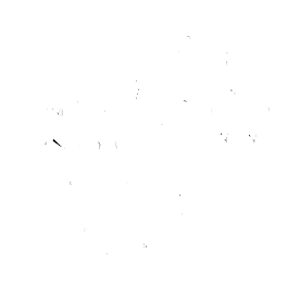 Cn1ncc(Cl)c1-c1cc(C(=O)N[C@H](CN)Cc2cccc(C(F)(F)F)c2)oc1Cl